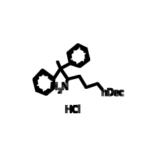 CCCCCCCCCCCCCC(N)C(C)(c1ccccc1)c1ccccc1.Cl